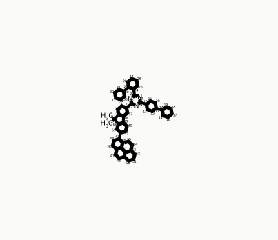 CC1(C)c2ccc(-c3nc(-c4ccc(-c5ccccc5)cc4)nc(-c4ccccc4-c4ccccc4)n3)cc2-c2ccc(-c3ccc4ccc5cccc6ccc3c4c56)cc21